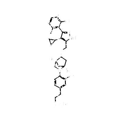 Cc1cccc(Cl)c1-c1n[nH]c(CO[C@@H]2C[C@@H]3C[C@H]2CN3c2ccc(CCC(=O)O)cc2F)c1C1CC1